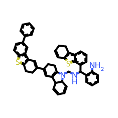 Nc1ccccc1C(NCN1C2=C(C=C(C3=Cc4c(sc5ccc(-c6ccccc6)cc45)CC3)CC2)C2C=CC=CC21)c1cccc2c3c(sc12)C=CCC3